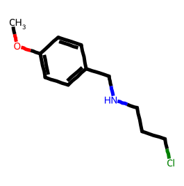 COc1ccc(CNCCCCl)cc1